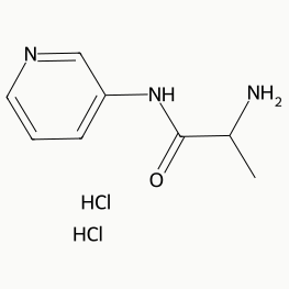 CC(N)C(=O)Nc1cccnc1.Cl.Cl